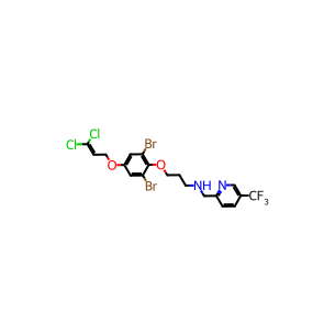 FC(F)(F)c1ccc(CNCCCOc2c(Br)cc(OCC=C(Cl)Cl)cc2Br)nc1